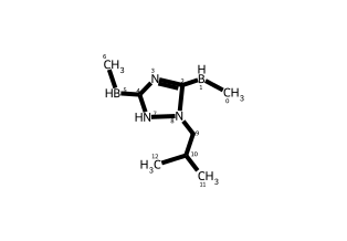 CBC1=NC(BC)NN1CC(C)C